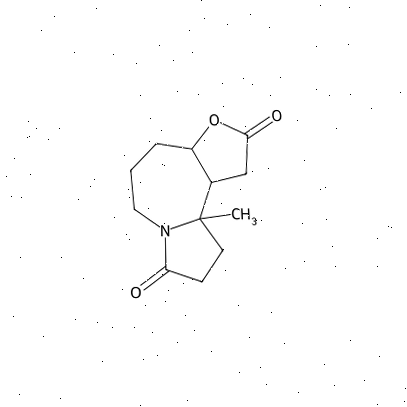 CC12CCC(=O)N1CCCC1OC(=O)CC12